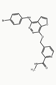 CNC(=O)c1cc(COc2nnc(Nc3ccc(Br)cc3)c3ccoc23)ccn1